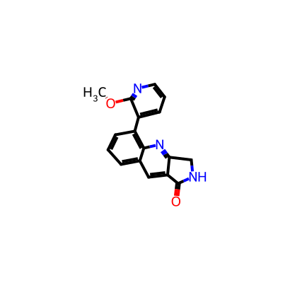 COc1ncccc1-c1cccc2cc3c(nc12)CNC3=O